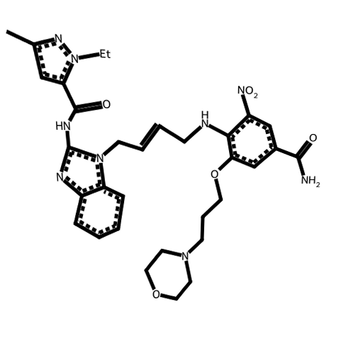 CCn1nc(C)cc1C(=O)Nc1nc2ccccc2n1CC=CCNc1c(OCCCN2CCOCC2)cc(C(N)=O)cc1[N+](=O)[O-]